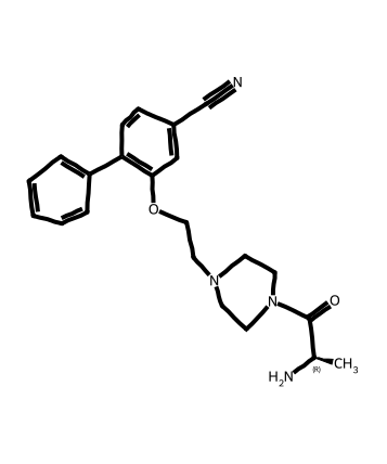 C[C@@H](N)C(=O)N1CCN(CCOc2cc(C#N)ccc2-c2ccccc2)CC1